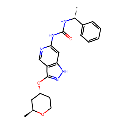 C[C@H]1C[C@H](Oc2n[nH]c3cc(NC(=O)N[C@H](C)c4ccccc4)ncc23)CCO1